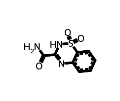 NC(=O)C1=Nc2ccccc2S(=O)(=O)N1